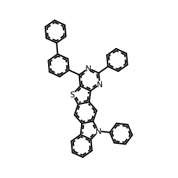 c1ccc(-c2cccc(-c3nc(-c4ccccc4)nc4c3sc3cc5c6ccccc6n(-c6ccccc6)c5cc34)c2)cc1